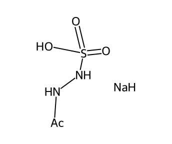 CC(=O)NNS(=O)(=O)O.[NaH]